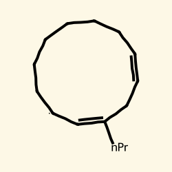 CCCC1=C[CH]CCCCCCC=CC1